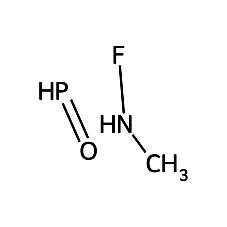 CNF.O=P